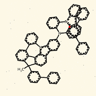 CC1(c2cccc(-c3ccccc3)c2)c2cccc3c2-c2c1ccc1c4ccc(N(c5cc(-c6ccccc6)cc(-c6ccccc6)c5)c5ccccc5-n5c6ccccc6c6ccccc65)cc4n(c21)-c1ccccc1-3